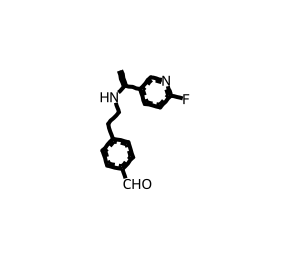 C=C(NCCc1ccc(C=O)cc1)c1ccc(F)nc1